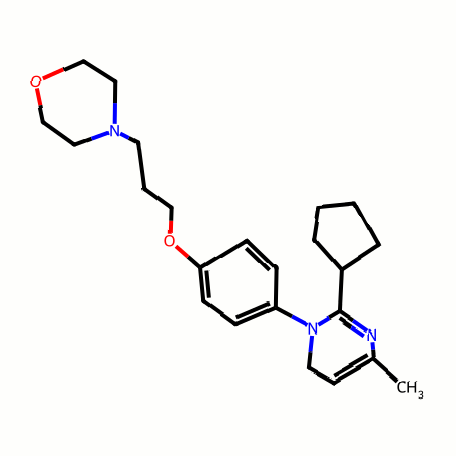 CC1=CCN(c2ccc(OCCCN3CCOCC3)cc2)C(C2CCCC2)=N1